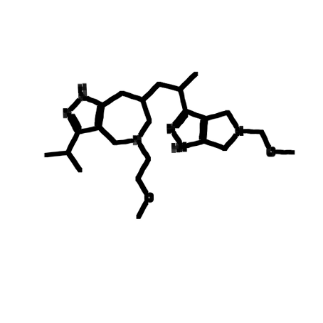 COCCN1Cc2c(C(C)C)n[nH]c2CC(CC(C)c2n[nH]c3c2CN(COC)C3)C1